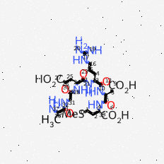 CSCC[C@H](NC(=O)[C@H](CC(=O)O)NC(=O)[C@H](CCCNC(=N)N)NC(=O)[C@H](CCC(=O)O)NC(=O)CNC(=O)[C@H](C)N)C(=O)O